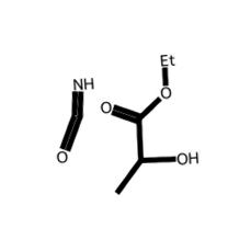 CCOC(=O)C(C)O.N=C=O